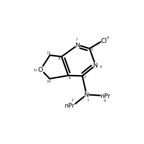 CCCN(CCC)c1nc(Cl)nc2c1COC2